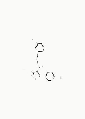 Cc1noc(-c2ccc(Br)cc2)c1C(O)COCc1cccc(C(F)(F)F)c1